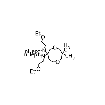 CCCCCCCN(CCOCC)C1(N(CCCCCCC)CCOCC)CCOCC(C)(C)COC1